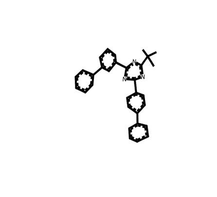 CC(C)(C)c1nc(-c2ccc(-c3ccccc3)cc2)nc(-c2cccc(-c3ccccc3)c2)n1